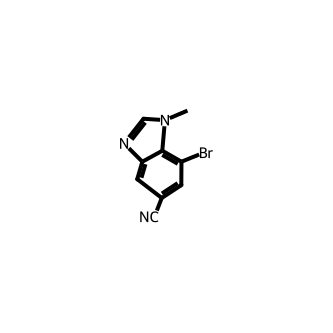 Cn1cnc2cc(C#N)cc(Br)c21